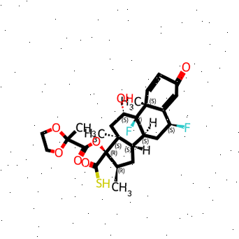 C[C@@H]1C[C@H]2[C@@H]3C[C@H](F)C4=CC(=O)C=C[C@]4(C)[C@@]3(F)[C@@H](O)C[C@]2(C)[C@@]1(OC(=O)C1(C)OCCO1)C(=O)S